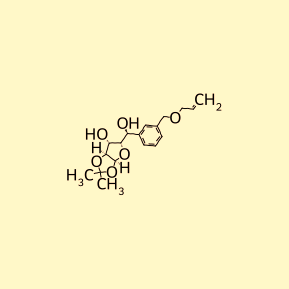 C=CCOCc1cccc([C@H](O)[C@@H]2O[C@H]3OC(C)(C)O[C@H]3[C@@H]2O)c1